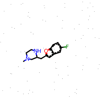 CN1CCNC(Cc2cc3cc(F)ccc3o2)C1